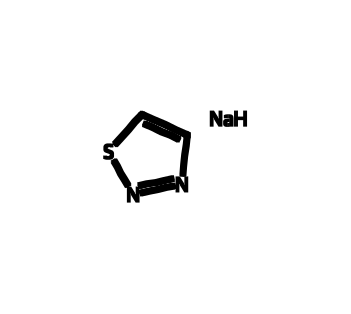 [NaH].c1csnn1